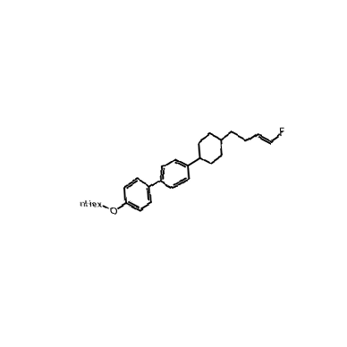 CCCCCCOc1ccc(-c2ccc(C3CCC(CCC=CF)CC3)cc2)cc1